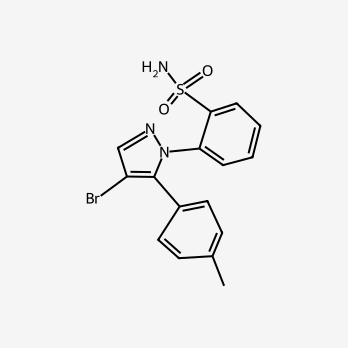 Cc1ccc(-c2c(Br)cnn2-c2ccccc2S(N)(=O)=O)cc1